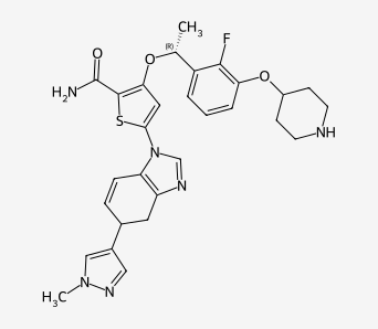 C[C@@H](Oc1cc(-n2cnc3c2C=CC(c2cnn(C)c2)C3)sc1C(N)=O)c1cccc(OC2CCNCC2)c1F